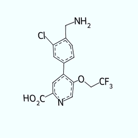 NCc1ccc(-c2cc(C(=O)O)ncc2OCC(F)(F)F)cc1Cl